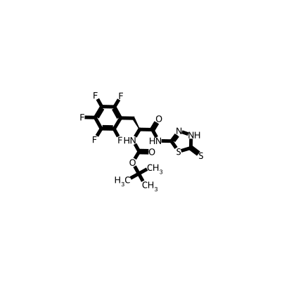 CC(C)(C)OC(=O)N[C@@H](Cc1c(F)c(F)c(F)c(F)c1F)C(=O)Nc1n[nH]c(=S)s1